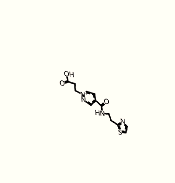 O=C(O)CC[n+]1ccc(C(=O)NCCc2nccs2)cn1